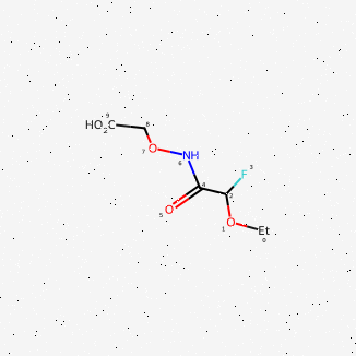 CCOC(F)C(=O)NOCC(=O)O